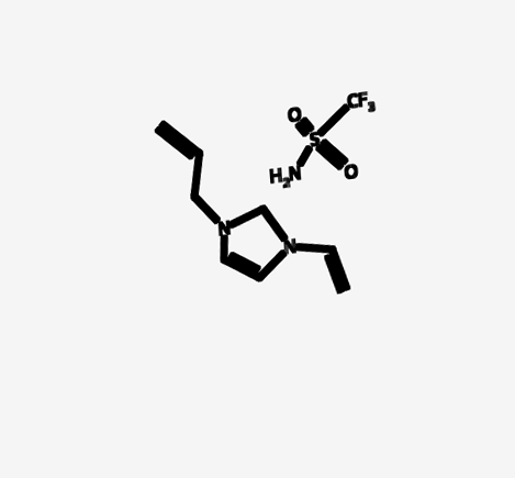 C=CCN1C=CN(C=C)C1.NS(=O)(=O)C(F)(F)F